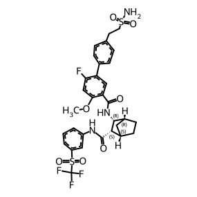 COc1cc(F)c(-c2ccc(CCS(N)(=O)=O)cc2)cc1C(=O)N[C@@H]1[C@@H]2CC[C@@H](C2)[C@@H]1C(=O)Nc1cccc(S(=O)(=O)C(F)(F)F)c1